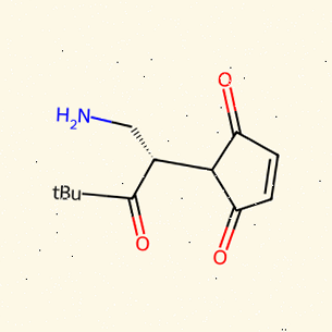 CC(C)(C)C(=O)[C@H](CN)C1C(=O)C=CC1=O